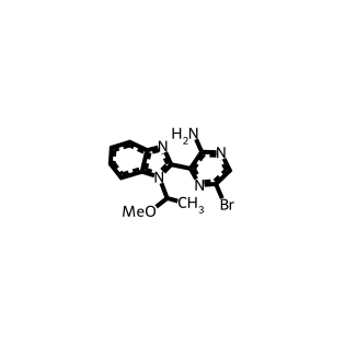 COC(C)n1c(-c2nc(Br)cnc2N)nc2ccccc21